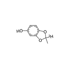 [2H]C1(C)Oc2ccc(O)cc2O1